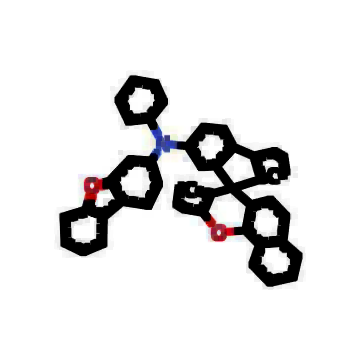 c1ccc(N(c2ccc3c(c2)C2(c4ccccc4Oc4c2ccc2ccccc42)c2ccccc2-3)c2ccc3c(c2)oc2ccccc23)cc1